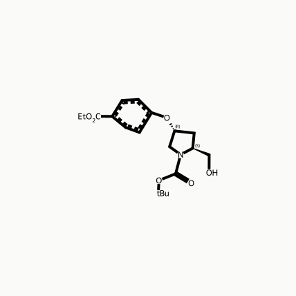 CCOC(=O)c1ccc(O[C@@H]2C[C@@H](CO)N(C(=O)OC(C)(C)C)C2)cc1